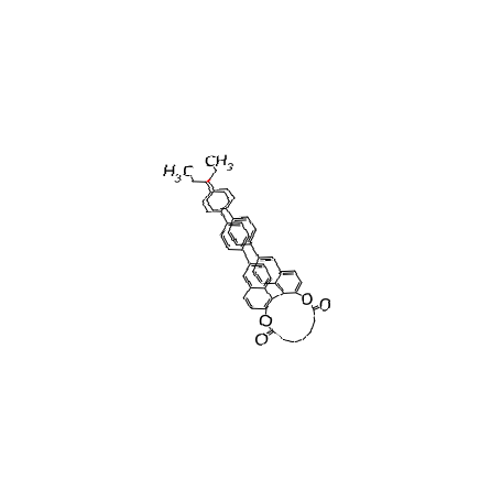 CCCC1CCC(c2ccc(-c3ccc4c5c(ccc4c3)OC(=O)CCCCCC(=O)Oc3ccc4cc(-c6ccc(C7CCC(CCC)CC7)cc6)ccc4c3-5)cc2)CC1